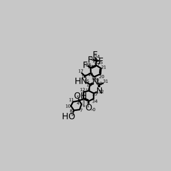 COC1=C(C2(O)CCC(O)CC2)CC2C(NC(C)C3CC=CC(C(F)(F)F)=C3F)=NC(C)=NC2C1